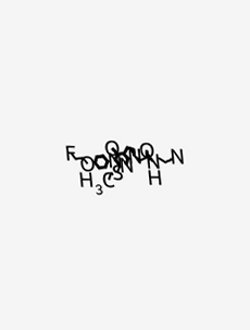 CCSc1nc2c(ccn2CC(=O)NCCC#N)c(=O)n1-c1ccc(OCCF)cc1